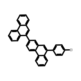 Clc1ccc(-c2cc3cc(-c4cc5ccccc5c5ccccc45)ccc3c3ccccc23)cc1